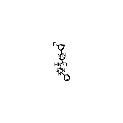 O=C(Nc1nc(-c2ccccc2)ns1)c1cnc(-c2cccc(F)c2)nc1